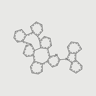 c1cc2c3c(c1)c1ccccc1c1ccc(-n4c5ccccc5c5ccccc54)nc1c1cccc(c1-3)c1ccccc1c1ccccc21